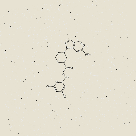 Nc1cc2c(cn1)ncn2C1CCCN(C(=O)CNc2cc(Cl)cc(Cl)c2)C1